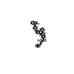 Cc1nc2ccccc2n1C1CCN(Cc2ccc(-c3nc4cc(C(=O)NCCCn5ccnc5)ccc4nc3-c3ccccc3)cc2)CC1